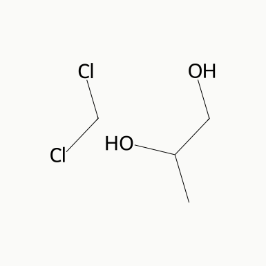 CC(O)CO.ClCCl